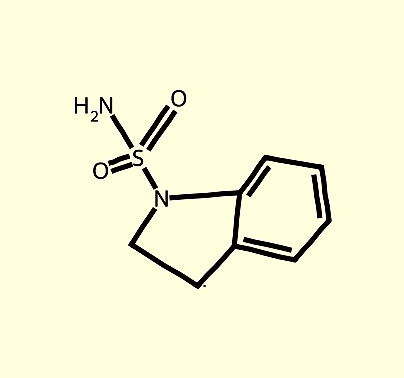 NS(=O)(=O)N1C[CH]c2ccccc21